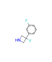 Fc1cccc(C2(F)CNC2)c1